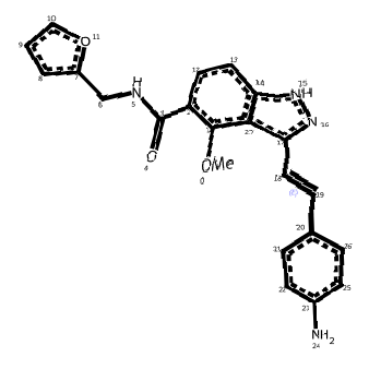 COc1c(C(=O)NCc2ccco2)ccc2[nH]nc(/C=C/c3ccc(N)cc3)c12